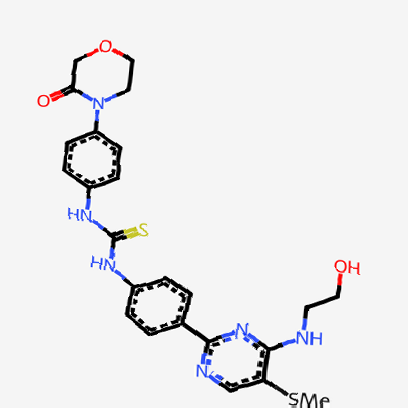 CSc1cnc(-c2ccc(NC(=S)Nc3ccc(N4CCOCC4=O)cc3)cc2)nc1NCCO